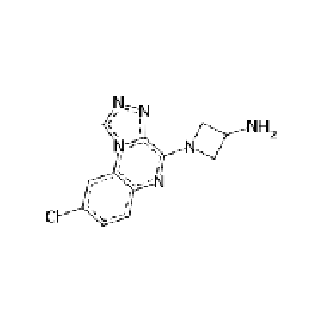 NC1CN(c2nc3ccc(Cl)cc3n3cnnc23)C1